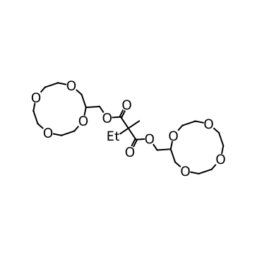 CCC(C)(C(=O)OCC1COCCOCCOCCO1)C(=O)OCC1COCCOCCOCCO1